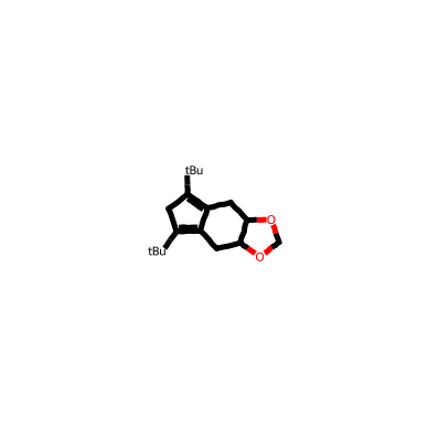 CC(C)(C)C1=C2CC3OCOC3CC2=C(C(C)(C)C)C1